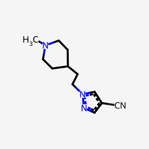 CN1CCC(CCn2cc(C#N)cn2)CC1